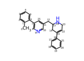 Cc1ccccc1-c1cncc(CC2CC(c3ccccc3)=CCN2)c1